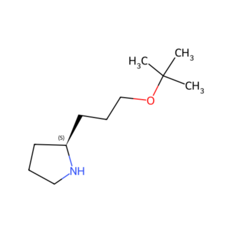 CC(C)(C)OCCC[C@@H]1CCCN1